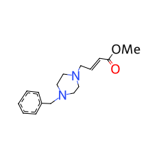 COC(=O)/C=C/CN1CCN(Cc2ccccc2)CC1